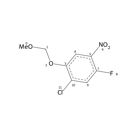 COCOc1cc([N+](=O)[O-])c(F)cc1Cl